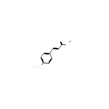 CC(C)OC(=O)/C=C/c1ccc(N)cc1